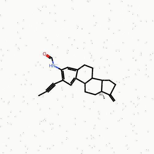 C=C1CCC2C3CCc4cc(NC=O)c(C#CC)cc4C3CC[C@]12C